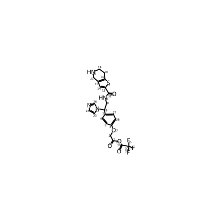 O=C(COc1ccc(C(CNC(=O)c2cc3c(s2)CCNC3)n2ccnc2)cc1)OC(=O)C(F)(F)F